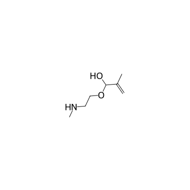 C=C(C)C(O)OCCNC